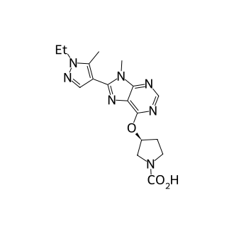 CCn1ncc(-c2nc3c(O[C@H]4CCN(C(=O)O)C4)ncnc3n2C)c1C